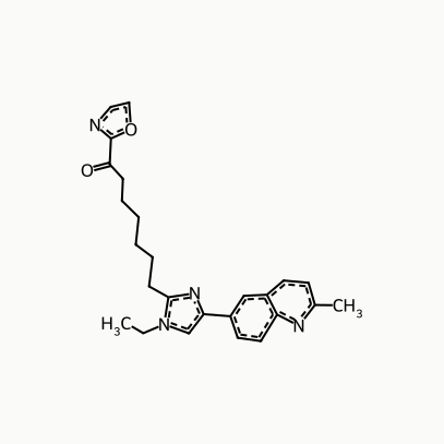 CCn1cc(-c2ccc3nc(C)ccc3c2)nc1CCCCCCC(=O)c1ncco1